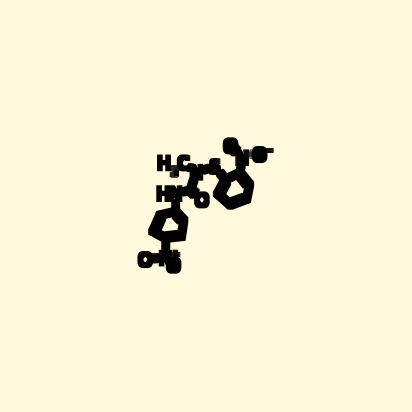 CN(Sc1ccccc1[N+](=O)[O-])C(=O)Nc1ccc([N+](=O)[O-])cc1